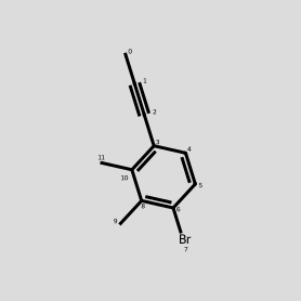 CC#Cc1ccc(Br)c(C)c1C